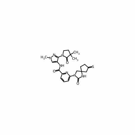 Cn1cc(NC(=O)c2cccc(N3CC4(CCC(=S)C4)NC3=O)n2)c(N2CCC(C)(C)C2=O)n1